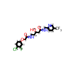 O=C(COc1ccc(Cl)c(F)c1)NCC[C@@H](O)CC(=O)NCc1ccc(C(F)(F)F)cn1